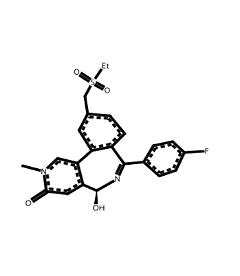 CCS(=O)(=O)Cc1ccc2c(c1)-c1cn(C)c(=O)cc1[C@H](O)N=C2c1ccc(F)cc1